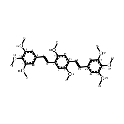 COc1cc(C=Cc2cc(OC)c(OC)c(OC)c2)c(OC)cc1C=Cc1cc(OC)c(OC)c(OC)c1